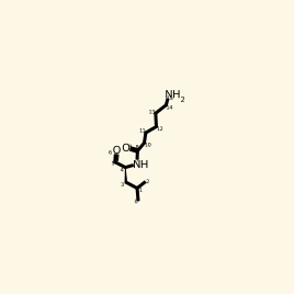 CC(C)C[C@@H](C=O)NC(=O)CCCCCN